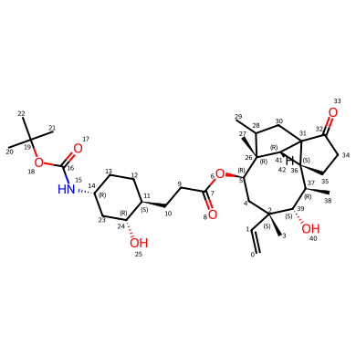 C=C[C@]1(C)C[C@@H](OC(=O)CC[C@@H]2CC[C@@H](NC(=O)OC(C)(C)C)C[C@H]2O)[C@]2(C)C(C)CC34C(=O)CC[C@@]3([C@@H](C)[C@@H]1O)[C@@H]42